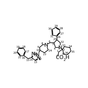 O=C(O)CC1(N2CC(CN3CCC(n4ncc(Cc5ccccc5)n4)CC3)C(c3ccccc3)C2)CCCCC1